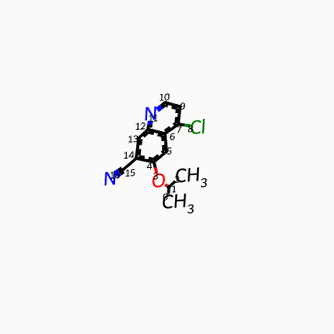 CC(C)Oc1cc2c(Cl)ccnc2cc1C#N